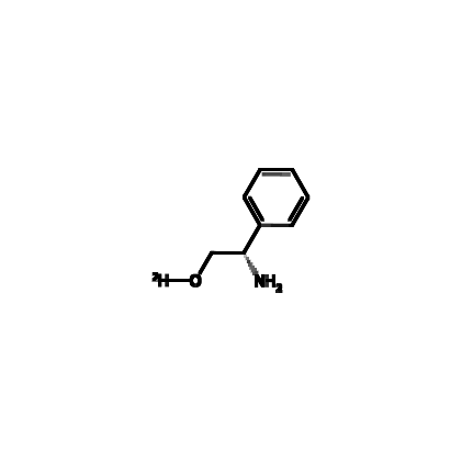 [2H]OC[C@@H](N)c1ccccc1